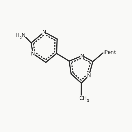 CCCC(C)c1nc(C)cc(-c2cnc(N)nc2)n1